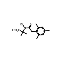 CCOC(=O)C(C)(C)N(CC)C(=O)Cc1c(C)cc(C)cc1C